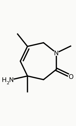 CC1=CC(C)(N)CC(=O)N(C)C1